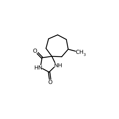 CC1CCCCC2(C1)NC(=O)NC2=O